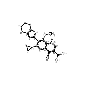 COc1c(-c2cc3c(s2)CCCC3)c(C2CC2)cc2c(=O)c(C(=O)O)c[nH]c12